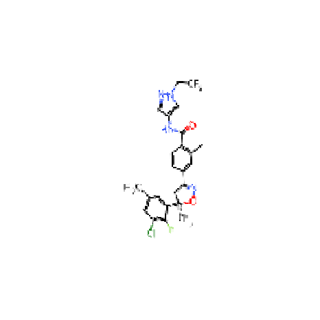 Cc1cc(C2=NO[C@](c3cc(C(F)(F)F)cc(Cl)c3F)(C(F)(F)F)C2)ccc1C(=O)Nc1cnn(CC(F)(F)F)c1